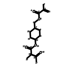 C=C(C)C(=O)OCC1CCC(OC(=O)C(C)C(C)=O)CC1